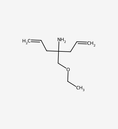 C=CCC(N)(CC=C)COCC